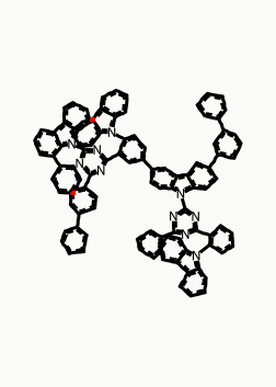 c1ccc(-c2ccc(-c3nc(-c4cc(-c5ccc6c(c5)c5cc(-c7cccc(-c8ccccc8)c7)ccc5n6-c5nc(-c6ccccc6)nc(-c6ccccc6-n6c7ccccc7c7ccccc76)n5)ccc4-n4c5ccccc5c5ccccc54)nc(-n4c5ccccc5c5cccc(-c6ccccc6)c54)n3)cc2)cc1